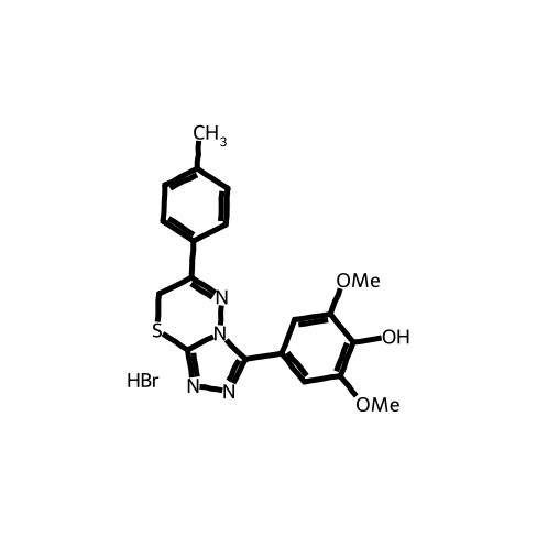 Br.COc1cc(-c2nnc3n2N=C(c2ccc(C)cc2)CS3)cc(OC)c1O